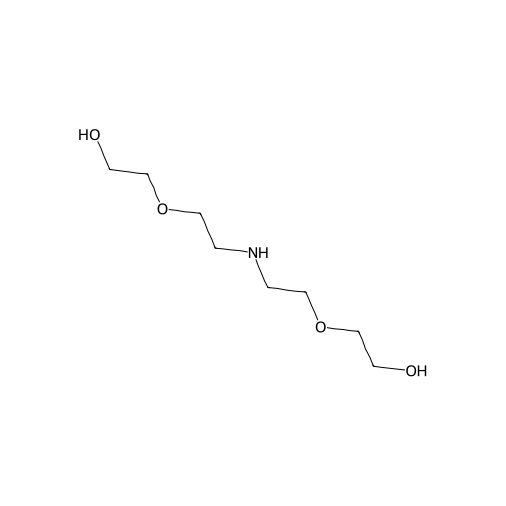 OCCOCCNCCOCCO